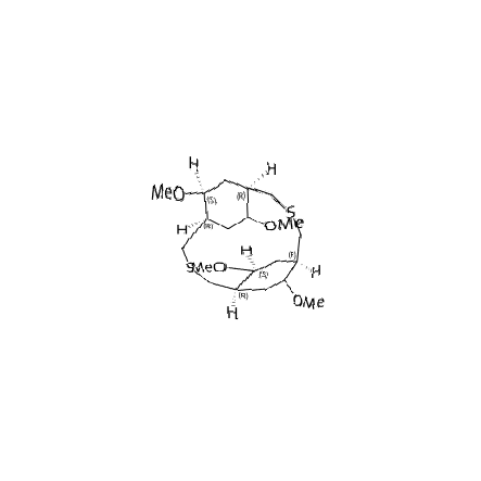 COC1C[C@H]2CSC[C@@H]3CC(OC)[C@H](CSC[C@@H]1C[C@@H]2OC)C[C@@H]3OC